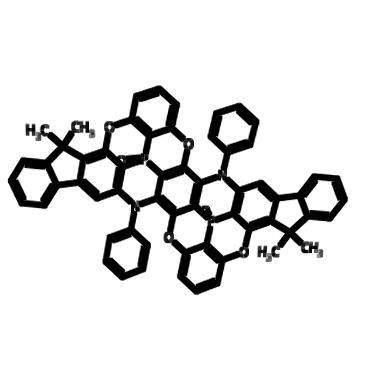 CC1(C)c2ccccc2-c2cc3c4c(c21)Oc1cccc2c1P4(=O)c1c(c4c5c(c1N3c1ccccc1)Oc1cccc3c1P5(=O)c1c(cc5c(c1O3)C(C)(C)c1ccccc1-5)N4c1ccccc1)O2